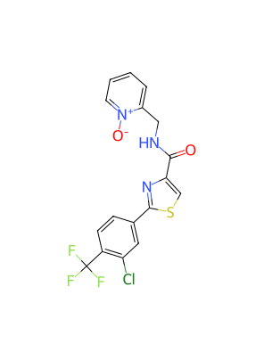 O=C(NCc1cccc[n+]1[O-])c1csc(-c2ccc(C(F)(F)F)c(Cl)c2)n1